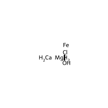 OCl.[CaH2].[Fe].[MgH2]